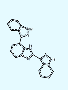 c1cc(-c2n[nH]c3ccccc23)c2[nH]c(-c3n[nH]c4ccccc34)nc2c1